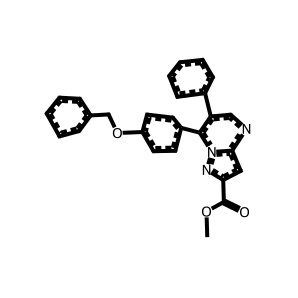 COC(=O)c1cc2ncc(-c3ccccc3)c(-c3ccc(OCc4ccccc4)cc3)n2n1